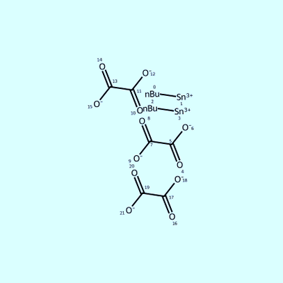 CCC[CH2][Sn+3].CCC[CH2][Sn+3].O=C([O-])C(=O)[O-].O=C([O-])C(=O)[O-].O=C([O-])C(=O)[O-]